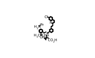 CC(C)(O)c1ccccc1CC[C@@H](SCC1(CC(=O)O)CC1)c1cccc(C=Cc2ccc3ccc(Cl)cc3n2)c1.CC(C)N